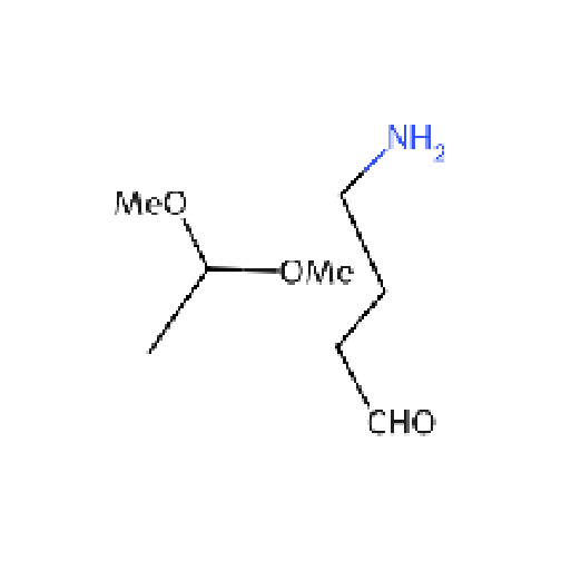 COC(C)OC.NCCCC=O